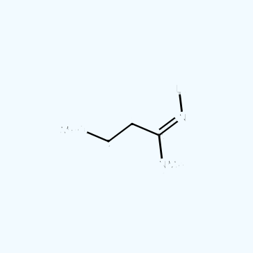 CCN=C(CCOC)NC